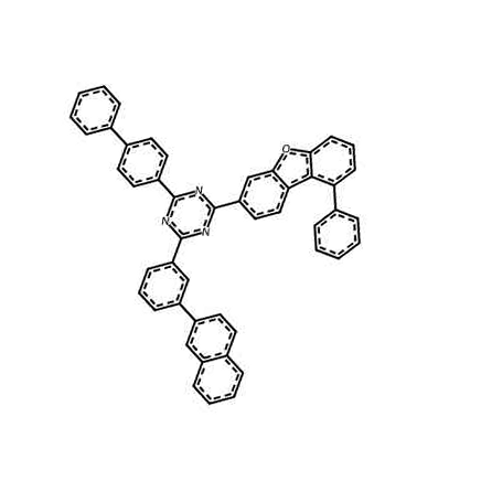 c1ccc(-c2ccc(-c3nc(-c4cccc(-c5ccc6ccccc6c5)c4)nc(-c4ccc5c(c4)oc4cccc(-c6ccccc6)c45)n3)cc2)cc1